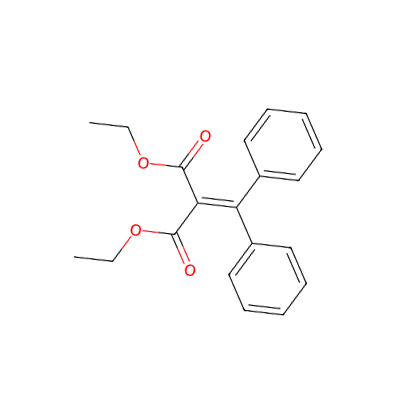 CCOC(=O)C(C(=O)OCC)=C(c1ccccc1)c1ccccc1